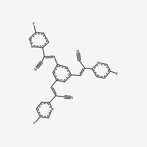 N#C/C(=C\c1cc(/C=C(\C#N)c2ccc(F)cn2)cc(/C=C(\C#N)c2ccc(F)cn2)c1)c1ccc(F)cn1